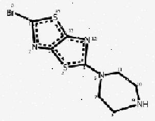 Brc1nc2sc(N3CCNCC3)nc2s1